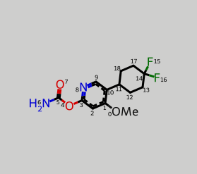 COc1cc(OC(N)=O)ncc1C1CCC(F)(F)CC1